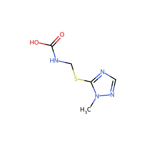 Cn1ncnc1SCNC(=O)O